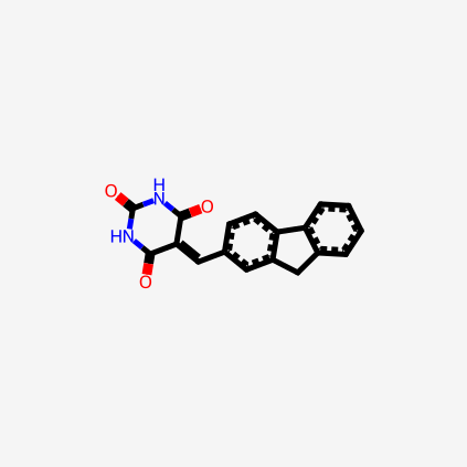 O=C1NC(=O)C(=Cc2ccc3c(c2)Cc2ccccc2-3)C(=O)N1